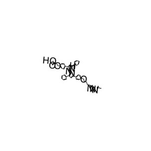 [N-]=[N+]=NCCCCOc1ccc(-c2cc(-c3ccccc3)c(/N=C3\N=C(c4ccccc4)C=C3c3ccc(OCC(=O)O)cc3)[nH]2)cc1